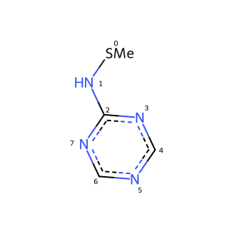 CSNc1ncncn1